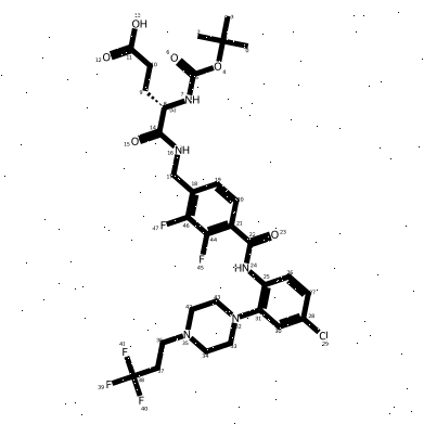 CC(C)(C)OC(=O)N[C@@H](CCC(=O)O)C(=O)NCc1ccc(C(=O)Nc2ccc(Cl)cc2N2CCN(CCC(F)(F)F)CC2)c(F)c1F